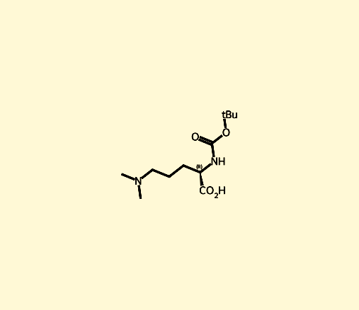 CN(C)CCC[C@@H](NC(=O)OC(C)(C)C)C(=O)O